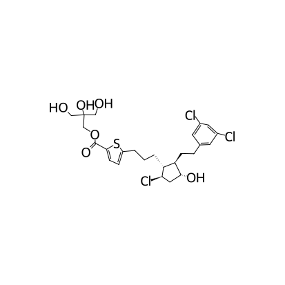 O=C(OCC(O)(CO)CO)c1ccc(CCC[C@@H]2[C@@H](CCc3cc(Cl)cc(Cl)c3)[C@H](O)C[C@H]2Cl)s1